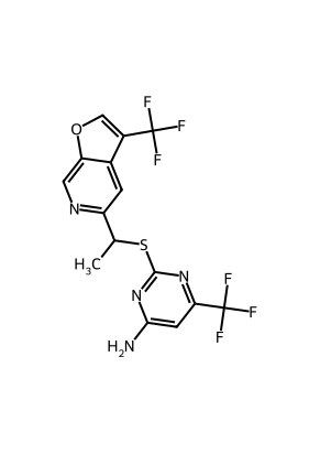 CC(Sc1nc(N)cc(C(F)(F)F)n1)c1cc2c(C(F)(F)F)coc2cn1